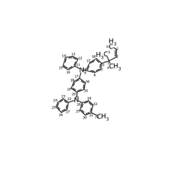 C/C=C\C(C)(C)c1ccc(N(c2ccccc2)c2ccc(N(c3ccccc3)c3ccc(C)cc3)cc2)cc1